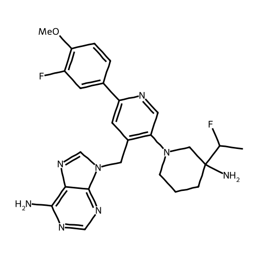 COc1ccc(-c2cc(Cn3cnc4c(N)ncnc43)c(N3CCCC(N)(C(C)F)C3)cn2)cc1F